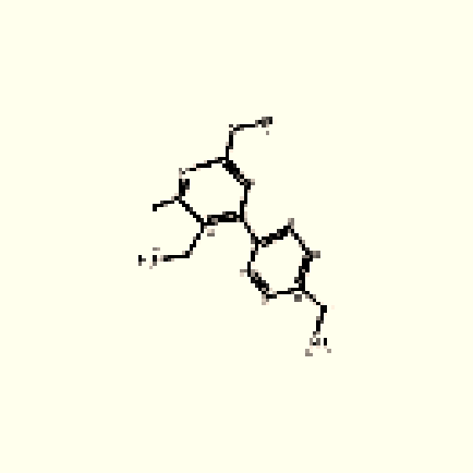 Cc1nc(CC(C)C)[c]c(-c2ccc(CN)cc2)c1CN